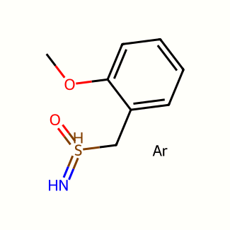 COc1ccccc1C[SH](=N)=O.[Ar]